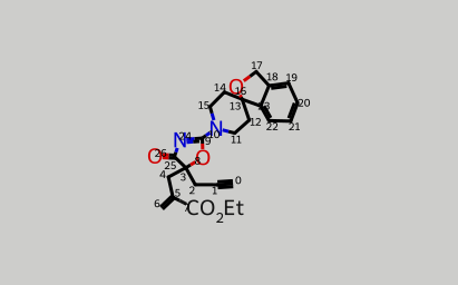 C#CCC1(CC(=C)C(=O)OCC)OC(N2CCC3(CC2)OCc2ccccc23)=NC1=O